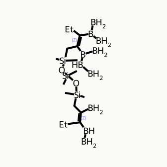 BBB(B)/C(C[Si](C)(C)O[Si](C)(C)O[Si](C)(C)C/C(B)=C(/BB)CC)=C(/CC)B(B)B